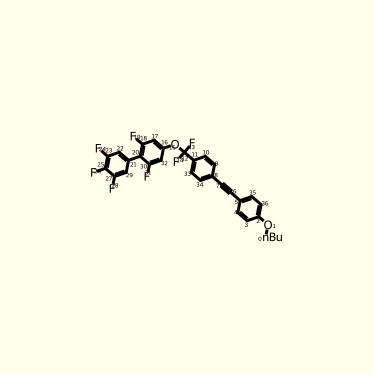 CCCCOc1ccc(C#Cc2ccc(C(F)(F)Oc3cc(F)c(-c4cc(F)c(F)c(F)c4)c(F)c3)cc2)cc1